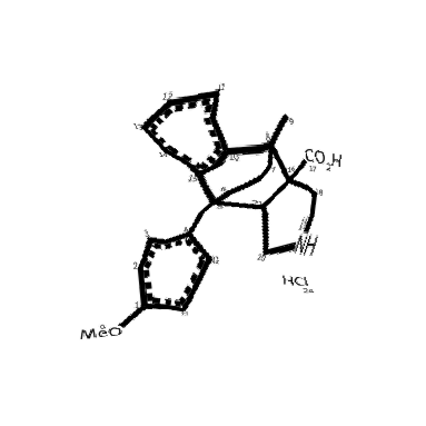 COc1ccc(C23CCC(C)(c4ccccc42)C2(C(=O)O)CNCC32)cc1.Cl